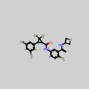 C=C(NC1CSC1)c1cc(NC(=O)C2C(c3cc(Cl)cc(Cl)c3)C2(Cl)Cl)ccc1Cl